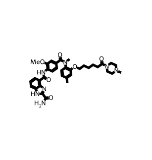 COc1cc(C(=O)N(C)c2ccc(C)cc2OCCCCCC(=O)N2CCN(C)CC2)ccc1NC(=O)c1cccc2[nH]c(C(N)=O)nc12